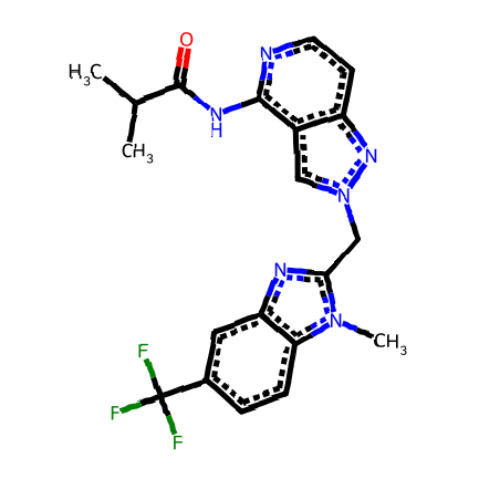 CC(C)C(=O)Nc1nccc2nn(Cc3nc4cc(C(F)(F)F)ccc4n3C)cc12